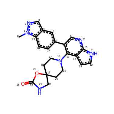 Cn1ncc2cc(-c3cnc4[nH]ccc4c3N3CCC4(CC3)CNC(=O)O4)ccc21